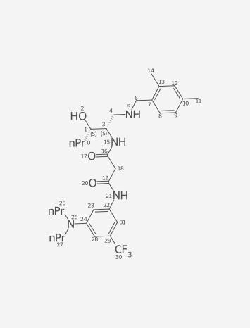 CCC[C@H](O)[C@H](CNCc1ccc(C)cc1C)NC(=O)CC(=O)Nc1cc(N(CCC)CCC)cc(C(F)(F)F)c1